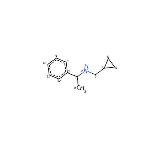 CC(NCC1CC1)c1cc[c]cc1